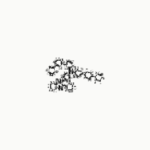 c1ccc(-c2ccc(-c3ccc(N(c4ccc(-c5nc6ccccc6nc5-c5ccccc5)cc4)c4cccc(-c5cccc(-c6ccccc6)c5)c4)cc3)cc2)cc1